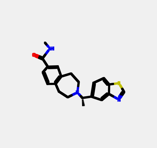 CNC(=O)c1ccc2c(c1)CCN([C@@H](C)c1ccc3scnc3c1)CC2